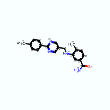 COc1ccc(-c2ncc(CNc3cc(C(N)=O)ccc3C)cn2)cc1